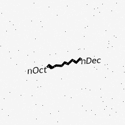 [CH2]CCCCCCCC=CCCCCCCCCCCCCCCCC[CH2]